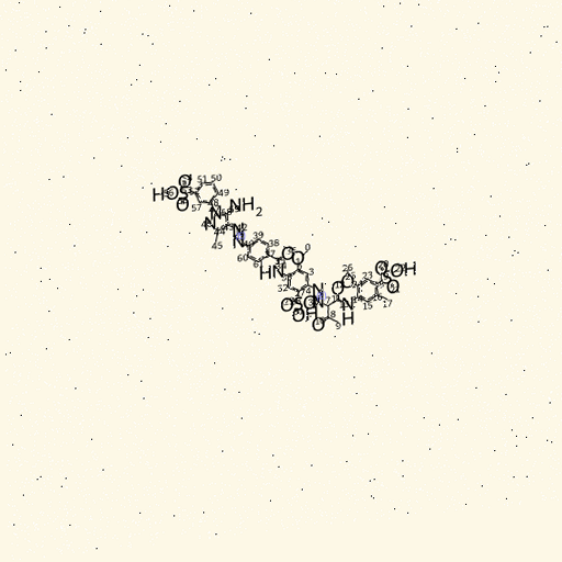 COc1cc(/N=N/C(C(C)=O)C(=O)Nc2cc(C)c(S(=O)(=O)O)cc2OC)c(S(=O)(=O)O)cc1NC(=O)c1ccc(/N=N/c2c(C)nn(-c3cccc(S(=O)(=O)O)c3)c2N)cc1